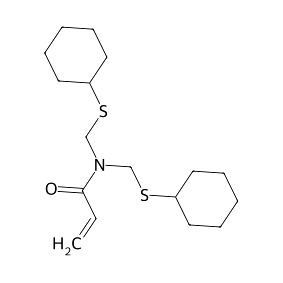 C=CC(=O)N(CSC1CCCCC1)CSC1CCCCC1